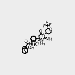 C[C@@]1(c2cccc(NC(=O)C34CC5CC(CC3(O)C5)C4)c2Cl)CC(=O)N([C@@H]2CCO[C@H](C(F)(F)F)C2)C(=N)N1